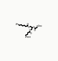 CCCCCCCCCCCC(=O)OC(COC(=O)CCCCCC(C)C)COC(=O)CCCC(C)CCC